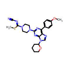 COc1ccc(-c2nc(N3CCN(/C(=N/C#N)SC)CC3)nc3c2ncn3C2CCCCO2)cc1